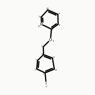 Ic1ccc(COc2ccccn2)cc1